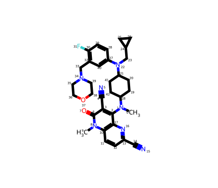 CN(c1c(C#N)c(=O)n(C)c2ccc(C#N)nc12)C1CCC(N(CC2CC2)c2ccc(F)c(CN3CCOCC3)c2)CC1